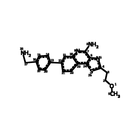 COCCc1nc2c(N)nc3cc(-c4ccc(CN)cc4)ccc3c2s1